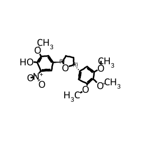 COc1cc([C@H]2CC[C@H](c3cc(OC)c(OC)c(OC)c3)O2)cc([N+](=O)[O-])c1O